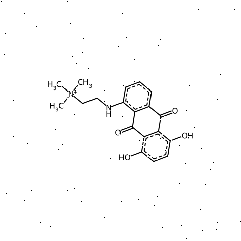 C[N+](C)(C)CCNc1cccc2c1C(=O)c1c(O)ccc(O)c1C2=O